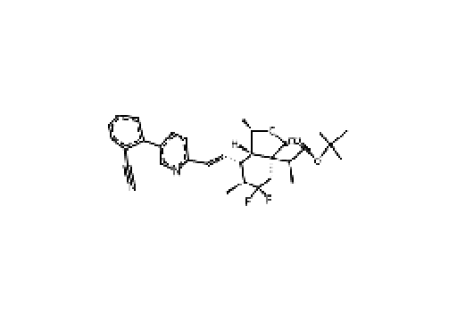 C[C@H](C(=O)OC(C)(C)C)[C@@]12CC(F)(F)[C@@H](C)[C@H](/C=C/c3ccc(-c4ccccc4C#N)cn3)[C@@H]1[C@@H](C)OC2=O